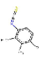 Cc1c(N=C=S)ccc(C#N)c1C(F)(F)F